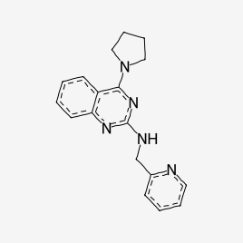 c1ccc(CNc2nc(N3CCCC3)c3ccccc3n2)nc1